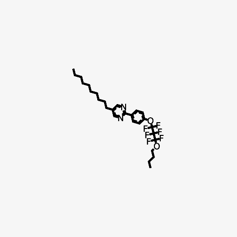 CCCCCCCCCCc1cnc(-c2ccc(OC(F)(F)C(F)(F)C(F)(F)OCCCC)cc2)nc1